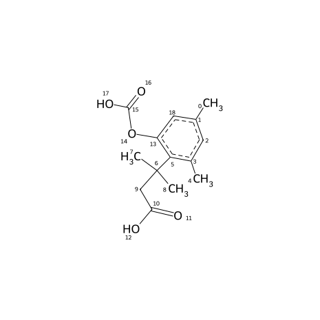 Cc1cc(C)c(C(C)(C)CC(=O)O)c(OC(=O)O)c1